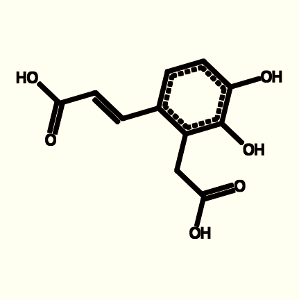 O=C(O)C=Cc1ccc(O)c(O)c1CC(=O)O